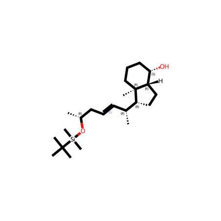 C[C@H](C/C=C/[C@@H](C)[C@H]1CC[C@H]2[C@@H](O)CCC[C@]12C)O[Si](C)(C)C(C)(C)C